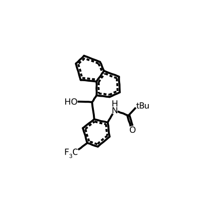 CC(C)(C)C(=O)Nc1ccc(C(F)(F)F)cc1C(O)c1cccc2ccccc12